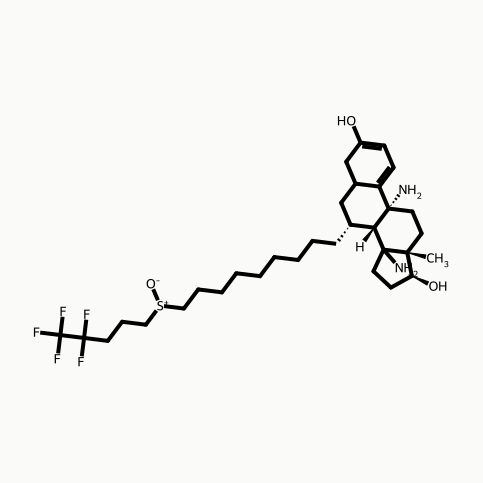 C[C@]12CC[C@]3(N)C4=CC=C(O)CC4C[C@@H](CCCCCCCCC[S+]([O-])CCCC(F)(F)C(F)(F)F)[C@H]3C1(N)CC[C@@H]2O